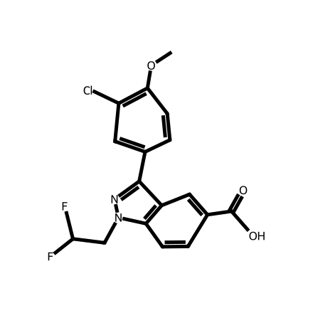 COc1ccc(-c2nn(CC(F)F)c3ccc(C(=O)O)cc23)cc1Cl